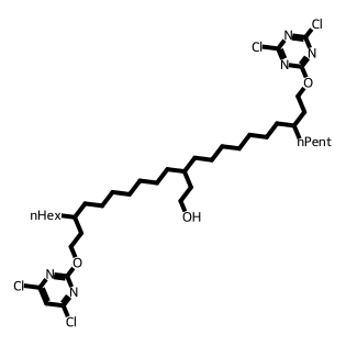 CCCCCCC(CCCCCCCC(CCO)CCCCCCCC(CCCCC)CCOc1nc(Cl)nc(Cl)n1)CCOc1nc(Cl)cc(Cl)n1